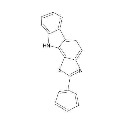 c1ccc(-c2nc3ccc4c5ccccc5[nH]c4c3s2)cc1